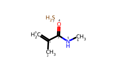 C=C(C)C(=O)NC.S